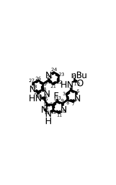 CCCCC(=O)Nc1cncc(-c2ncc3[nH]nc(-c4nc5c(-c6ccccn6)ccnc5[nH]4)c3c2F)c1